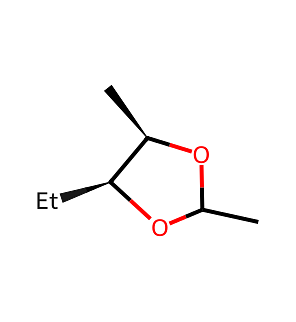 CC[C@@H]1OC(C)O[C@@H]1C